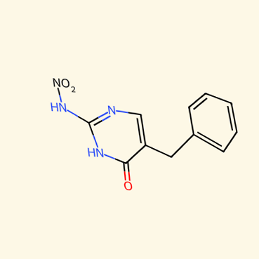 O=c1[nH]c(N[N+](=O)[O-])ncc1Cc1ccccc1